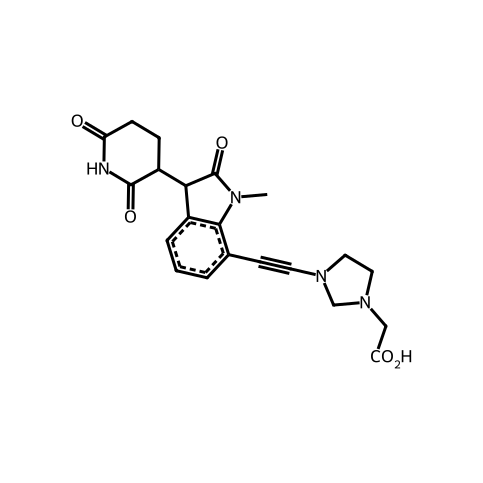 CN1C(=O)C(C2CCC(=O)NC2=O)c2cccc(C#CN3CCN(CC(=O)O)C3)c21